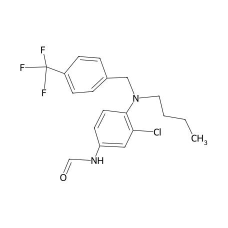 CCCCN(Cc1ccc(C(F)(F)F)cc1)c1ccc(NC=O)cc1Cl